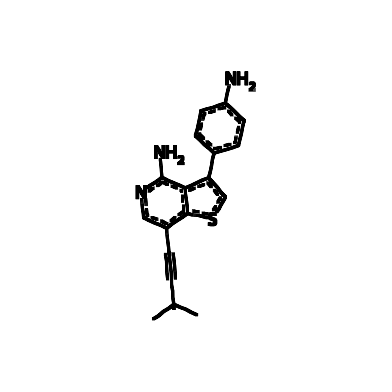 C[C](C)C#Cc1cnc(N)c2c(-c3ccc(N)cc3)csc12